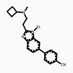 CCn1c(CCN(C)C2CCC2)nc2ccc(-c3ccc(C#N)cc3)cc21